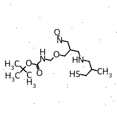 CC(CS)CNCC(CN=O)COCNC(=O)OC(C)(C)C